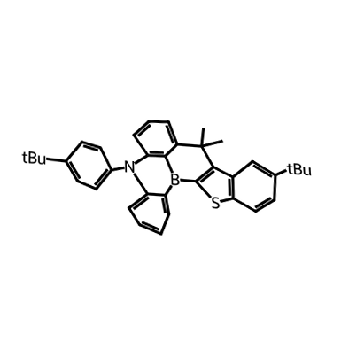 CC(C)(C)c1ccc(N2c3ccccc3B3c4sc5ccc(C(C)(C)C)cc5c4C(C)(C)c4cccc2c43)cc1